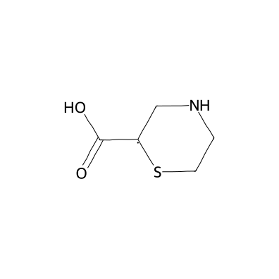 O=C(O)[C]1CNCCS1